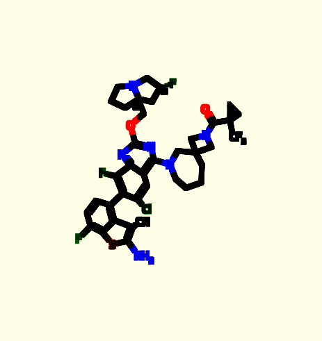 N#Cc1c(N)sc2c(F)ccc(-c3c(Cl)cc4c(N5CCCCC6(CN(C(=O)C7(C(F)(F)F)CC7)C6)C5)nc(OC[C@@]56CCCN5C[C@H](F)C6)nc4c3F)c12